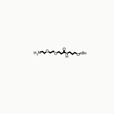 CCCCOCCCNC(=O)CCOCCOCCN